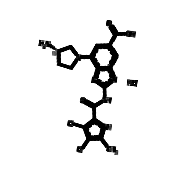 Cc1[nH]c(C(=O)Nc2nc3c(N4CC[C@H](N)C4)cc(C(=O)O)cc3s2)c(Cl)c1Cl.Cl